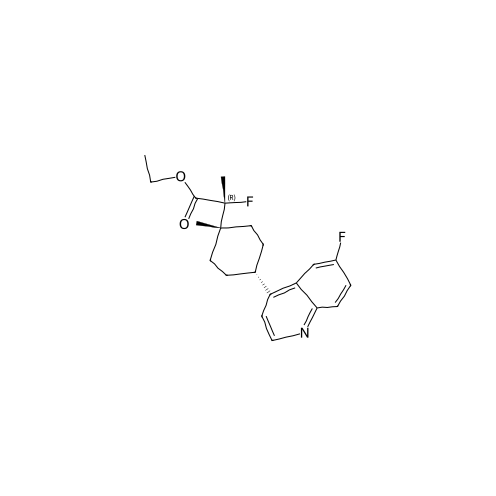 CCOC(=O)[C@](C)(F)[C@]1(C)CC[C@H](c2ccnc3ccc(F)cc32)CC1